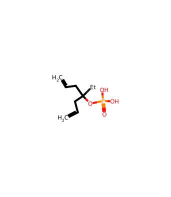 C=CCC(CC)(CC=C)OP(=O)(O)O